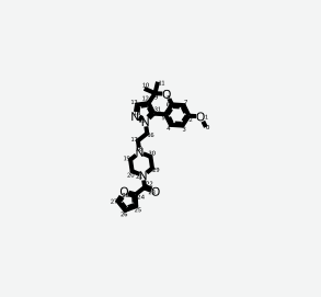 COc1ccc2c(c1)OC(C)(C)c1cnn(CCN3CCN(C(=O)c4ccco4)CC3)c1-2